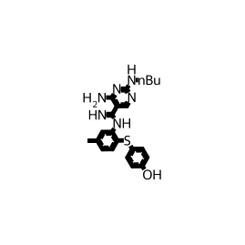 CCCCNc1ncc(C(=N)Nc2cc(C)ccc2Sc2ccc(O)cc2)c(N)n1